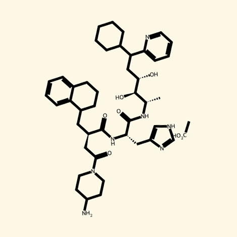 CC(=O)O.C[C@H](NC(=O)[C@H](Cc1c[nH]cn1)NC(=O)[C@@H](CC(=O)N1CCC(N)CC1)CC1CCCc2ccccc21)[C@@H](O)[C@@H](O)CC(c1ccccn1)C1CCCCC1